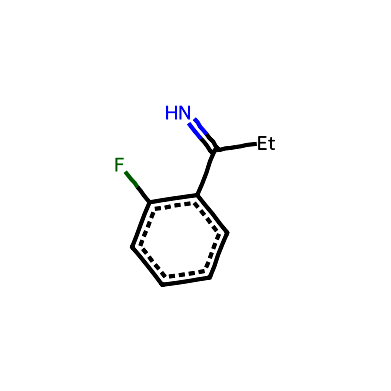 CCC(=N)c1ccccc1F